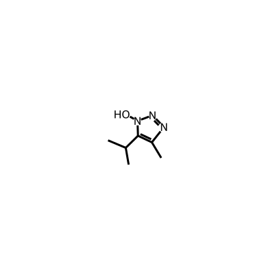 Cc1nnn(O)c1C(C)C